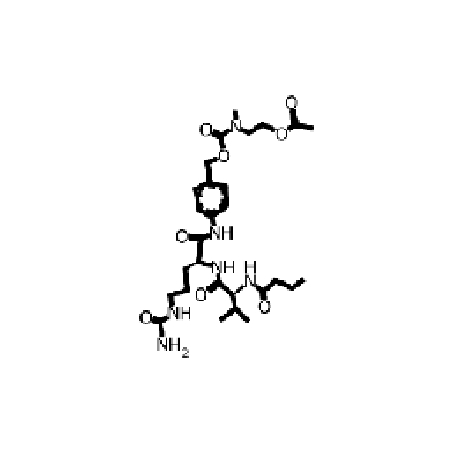 CCCC(=O)N[C@H](C(=O)N[C@@H](CCCNC(N)=O)C(=O)Nc1ccc(COC(=O)N(C)CCOC(C)=O)cc1)C(C)C